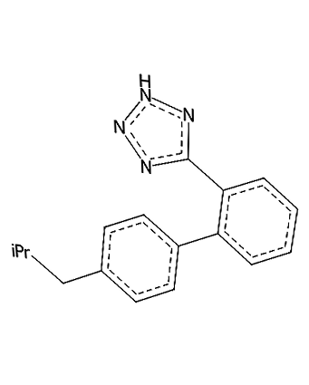 CC(C)Cc1ccc(-c2ccccc2-c2nn[nH]n2)cc1